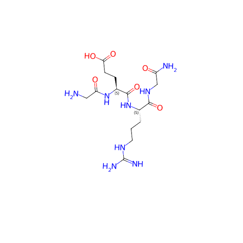 N=C(N)NCCC[C@H](NC(=O)[C@H](CCC(=O)O)NC(=O)CN)C(=O)NCC(N)=O